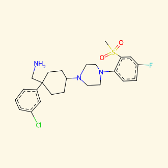 CS(=O)(=O)c1cc(F)ccc1N1CCN(C2CCC(CN)(c3cccc(Cl)c3)CC2)CC1